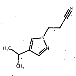 CC(C)c1cnn(CCC#N)c1